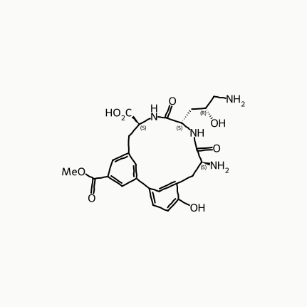 COC(=O)c1cc2cc(c1)-c1ccc(O)c(c1)C[C@H](N)C(=O)N[C@@H](C[C@@H](O)CN)C(=O)N[C@H](C(=O)O)C2